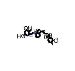 C=C1/C(=C\C=C2/CCC[C@]3(C)[C@@H]([C@H](C)CCS(=O)(=O)c4ccc(C)c(Cl)c4)CC[C@@H]23)C[C@@H](O)C[C@@H]1O